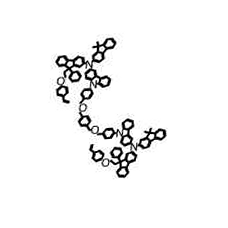 C=Cc1ccc(OCCC2(c3ccccc3)c3ccccc3-c3ccc(N(c4ccc5c(c4)C(C)(C)c4ccccc4-5)c4ccc5c(c4)c4ccccc4n5-c4ccc(COCc5ccc(COCc6ccc(-n7c8ccccc8c8cc(N(c9ccc%10c(c9)C(C)(C)c9ccccc9-%10)c9ccc%10c(c9)C(CCOc9ccc(C=C)cc9)(c9ccccc9)c9ccccc9-%10)ccc87)cc6)cc5)cc4)cc32)cc1